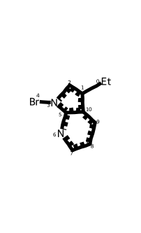 CCc1cn(Br)c2ncccc12